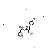 CN(Cc1cccnc1)Cc1oc(-c2ccc(C(F)(F)F)cc2)cc1CO